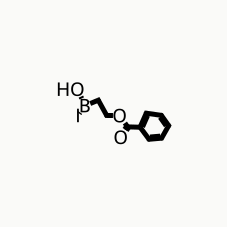 O=C(OCCB(O)I)c1ccccc1